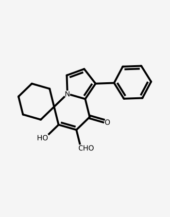 O=CC1=C(O)C2(CCCCC2)n2ccc(-c3ccccc3)c2C1=O